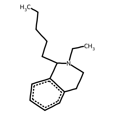 CCCCCC1c2ccccc2CCN1CC